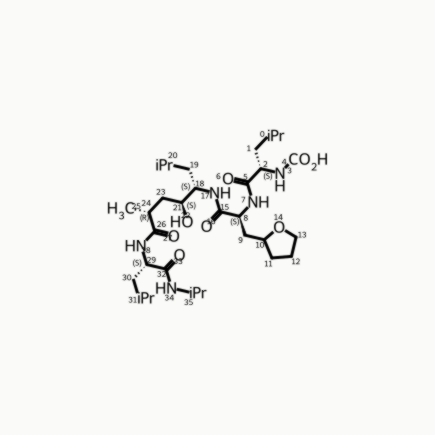 CC(C)C[C@H](NC(=O)O)C(=O)N[C@@H](CC1CCCO1)C(=O)N[C@@H](CC(C)C)[C@@H](O)C[C@@H](C)C(=O)N[C@@H](CC(C)C)C(=O)NC(C)C